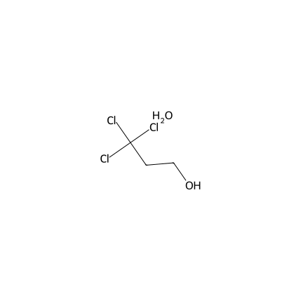 O.OCCC(Cl)(Cl)Cl